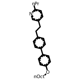 CCCCCCCCOc1ccc(-c2ccc(CCc3ccc(CCC)nc3)cc2)cc1